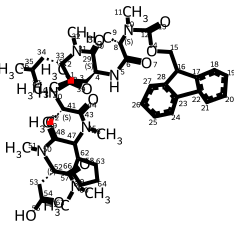 CC(C)C[C@H](NC(=O)[C@H](C)N(C)C(=O)OCC1c2ccccc2-c2ccccc21)C(=O)N(C)[C@@H](CC(C)C)C(=O)N[C@@H](C)C(=O)N(C)C(C(=O)N(C)[C@@H](CC(=O)O)C(=O)N(C)C)C1CCCC1